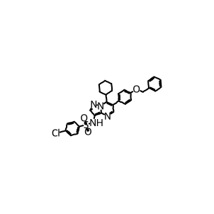 O=S(=O)(Nc1cnn2c(C3CCCCC3)c(-c3ccc(OCc4ccccc4)cc3)cnc12)c1ccc(Cl)cc1